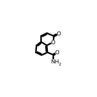 NC(=O)c1cccc2ccc(=O)oc12